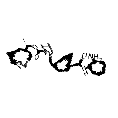 C[C@H](OC(=O)NCc1ccc(C(=O)Nc2ccccc2N)cc1)c1cccnc1